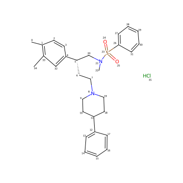 Cc1ccc([C@@H](CCN2CCC(c3ccccc3)CC2)CN(C)S(=O)(=O)c2ccccc2)cc1C.Cl